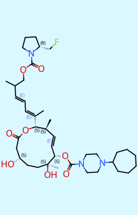 C/C(=C\C=C\C(C)COC(=O)N1CCC[C@@H]1CF)[C@H]1OC(=O)C[C@@H](O)CC[C@](C)(O)[C@@H](OC(=O)N2CCN(C3CCCCCC3)CC2)/C=C/[C@@H]1C